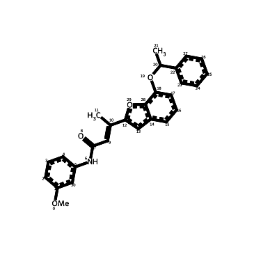 COc1cccc(NC(=O)/C=C(\C)c2cc3cccc(OC(C)c4ccccc4)c3o2)c1